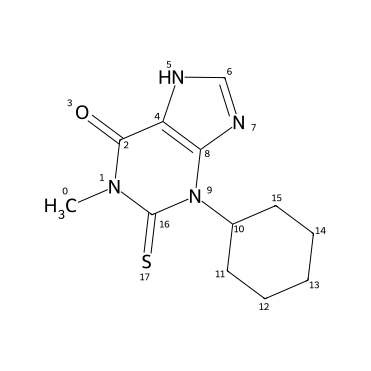 Cn1c(=O)c2[nH]cnc2n(C2CCCCC2)c1=S